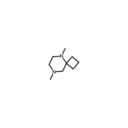 CN1CCN(C)C2(CCC2)C1